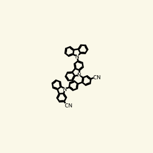 N#Cc1ccc(-c2ccc(-n3c4ccccc4c4ccc(C#N)cc43)cc2)c(-n2c3ccccc3c3cc(-n4c5ccccc5c5ccccc54)ccc32)c1